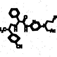 CC(=O)CN(CCC(C)C)c1ccc(NC(=O)C(NCC(C)c2ccc(C#N)cc2)c2ccccc2)nc1